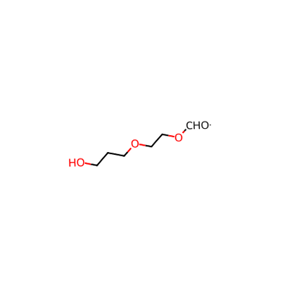 O=[C]OCCOCCCO